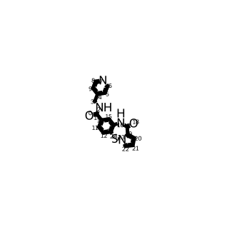 O=C(NCc1ccncc1)c1ccc2c(c1)NC(=O)c1cccn1S2